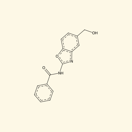 O=C(Nc1nc2cc(CO)ccc2o1)c1ccccc1